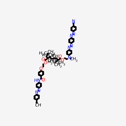 C#Cc1ccc(/N=N/c2ccc(NC(=O)c3ccc(OCCOC(=O)C(C)(CC(C)(C)C)[C](C)([Y])CC(C)(C)CC(C)(C(=O)OCCN(C)c4ccc(/N=N/c5ccc(/N=N/c6ccc(C#N)cc6)cc5)cc4)C(C)C)cc3)cc2)cc1